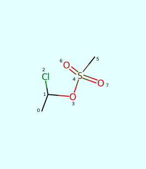 CC(Cl)OS(C)(=O)=O